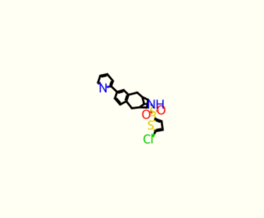 O=S(=O)(NC1C2CCC1Cc1cc(-c3ccccn3)ccc1C2)c1ccc(Cl)s1